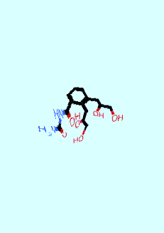 NC(=O)NC(=O)c1cccc(CC(O)CO)c1CC(O)CO